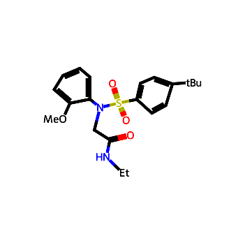 CCNC(=O)CN(c1ccccc1OC)S(=O)(=O)c1ccc(C(C)(C)C)cc1